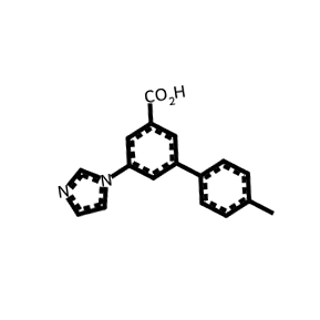 Cc1ccc(-c2cc(C(=O)O)cc(-n3ccnc3)c2)cc1